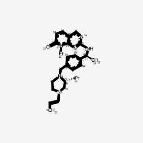 CC=CN1CCN(Cc2ccc([C@H](C)Nc3ncc4ccc(=O)n(CC)c4n3)cc2)[C@H](C(C)C)C1